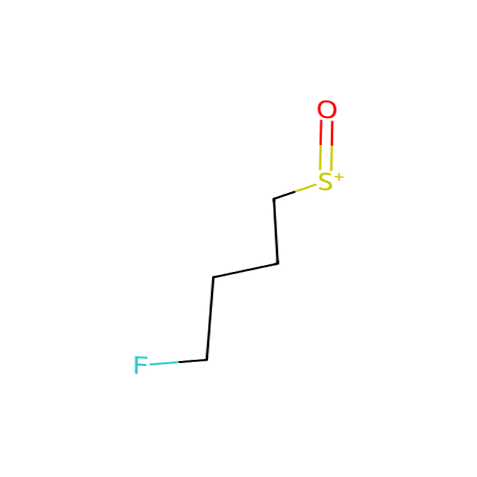 O=[S+]CCCCF